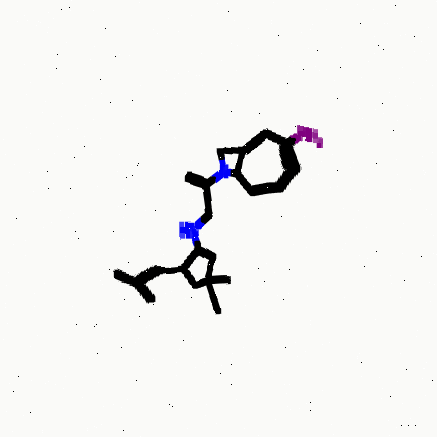 C=C(CNC1CC(C)(C)CC1CC(C)C)N1CC2=CC(P)=CC=CC21